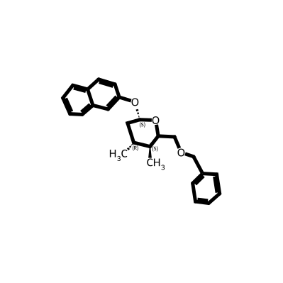 C[C@@H]1C[C@H](Oc2ccc3ccccc3c2)OC(COCc2ccccc2)[C@H]1C